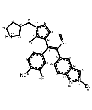 C=N/C(=C(/c1ccc(C#N)c(F)c1)c1ccn(C[C@@H]2CCNC2)c1C)c1ccc2nn(CC)cc2c1